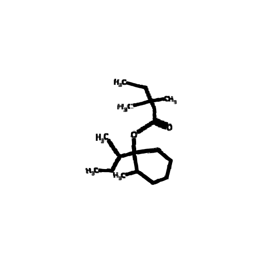 CCC(C)C1(OC(=O)C(C)(C)CC)CCCCC1C